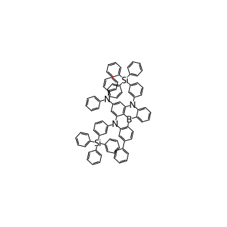 c1ccc(-c2ccc3c(c2)N(c2cccc([Si](c4ccccc4)(c4ccccc4)c4ccccc4)c2)c2cc(N(c4ccccc4)c4ccccc4)cc4c2B3c2ccccc2N4c2cccc([Si](c3ccccc3)(c3ccccc3)c3ccccc3)c2)cc1